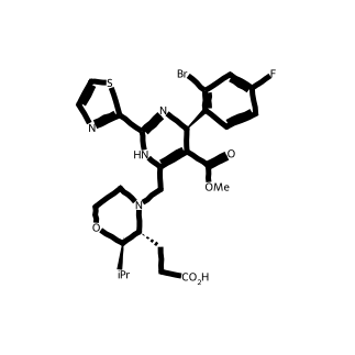 COC(=O)C1=C(CN2CCO[C@H](C(C)C)[C@H]2CCC(=O)O)NC(c2nccs2)=N[C@H]1c1ccc(F)cc1Br